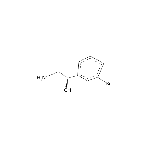 NC[C@H](O)c1cccc(Br)c1